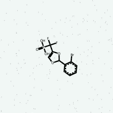 O=P(O)(O)C(F)(F)C1=COC(c2ccccc2Br)O1